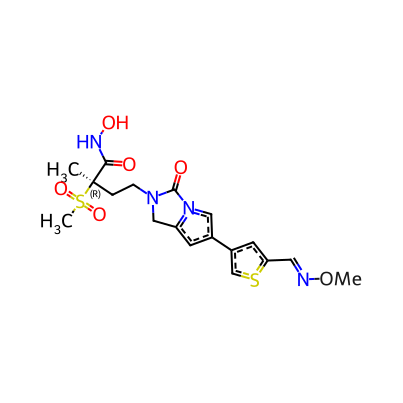 CON=Cc1cc(-c2cc3n(c2)C(=O)N(CC[C@](C)(C(=O)NO)S(C)(=O)=O)C3)cs1